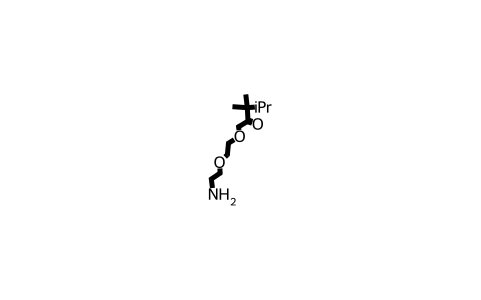 CC(C)C(C)(C)C(=O)COCCOCCN